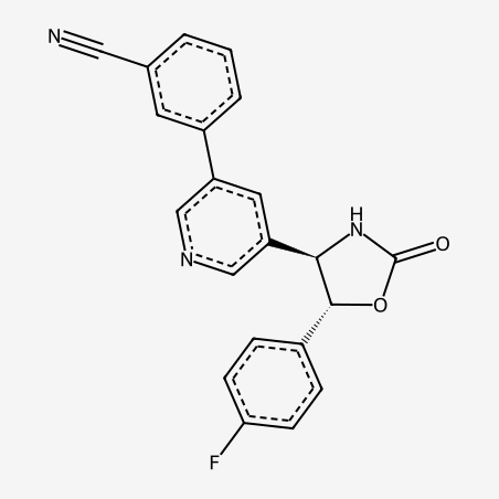 N#Cc1cccc(-c2cncc([C@H]3NC(=O)O[C@@H]3c3ccc(F)cc3)c2)c1